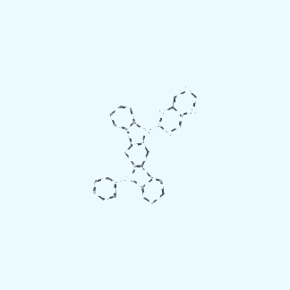 c1ccc(-n2c3ccccc3c3cc4c(cc32)c2ccccc2n4-c2ncc3ncncc3n2)cc1